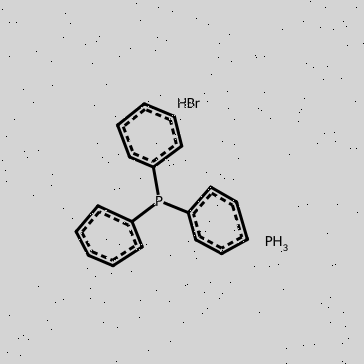 Br.P.c1ccc(P(c2ccccc2)c2ccccc2)cc1